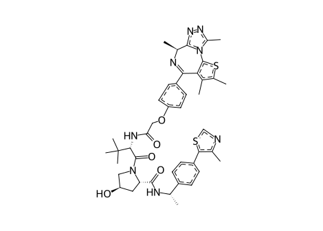 Cc1ncsc1-c1ccc([C@H](C)NC(=O)[C@@H]2C[C@@H](O)CN2C(=O)[C@@H](NC(=O)COc2ccc(C3=N[C@@H](C)c4nnc(C)n4-c4sc(C)c(C)c43)cc2)C(C)(C)C)cc1